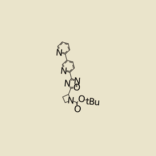 CC(C)(C)OC(=O)N1CCC1c1nc(-c2ccc(-c3ccccn3)cn2)no1